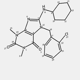 Cn1c(=O)c2c(nc(NC3CCCCC3)n2Cc2ccccc2Cl)n(C)c1=O